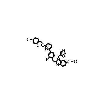 O=Cc1ccc2nc(Cc3ccc(-c4cccc(OCc5ccc(Cl)cc5F)n4)cc3F)n(Cc3cnco3)c2c1